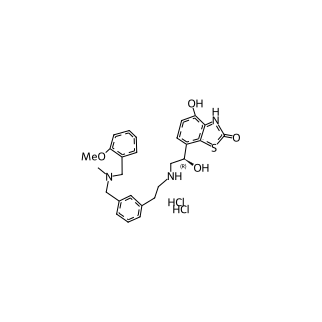 COc1ccccc1CN(C)Cc1cccc(CCNC[C@H](O)c2ccc(O)c3[nH]c(=O)sc23)c1.Cl.Cl